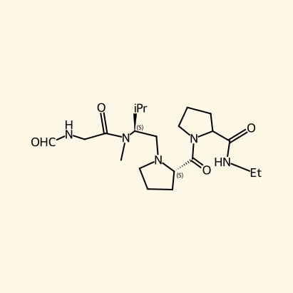 CCNC(=O)C1CCCN1C(=O)[C@@H]1CCCN1C[C@H](C(C)C)N(C)C(=O)CNC=O